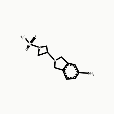 CS(=O)(=O)N1CC(N2Cc3ccc(N)cc3C2)C1